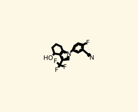 N#Cc1cc(-n2cc(C(F)(F)F)c3c2CCCC3O)ccc1F